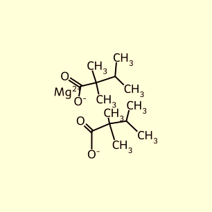 CC(C)C(C)(C)C(=O)[O-].CC(C)C(C)(C)C(=O)[O-].[Mg+2]